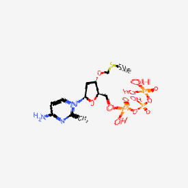 C=C1N=C(N)C=CN1[C@H]1C[C@H](OCSSC)[C@@H](COP(=O)(O)OP(=O)(O)OP(=O)(O)O)O1